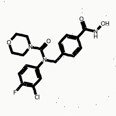 O=C(NO)c1ccc(CN(C(=O)N2CCOCC2)c2ccc(F)c(Cl)c2)cc1